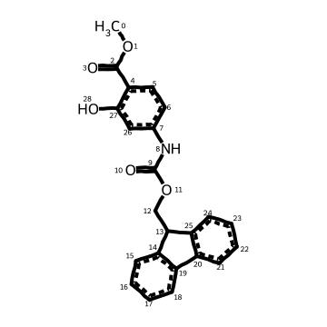 COC(=O)c1ccc(NC(=O)OCC2c3ccccc3-c3ccccc32)cc1O